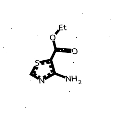 CCOC(=O)c1scnc1N